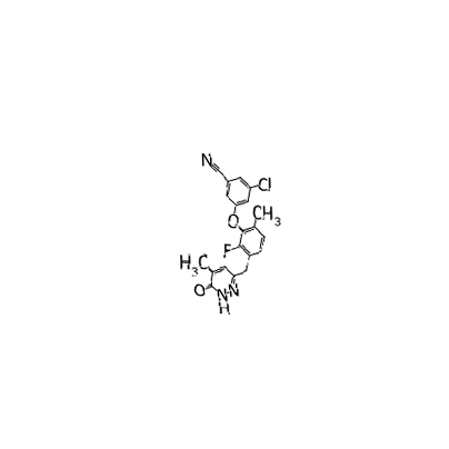 Cc1ccc(Cc2cc(C)c(=O)[nH]n2)c(F)c1Oc1cc(Cl)cc(C#N)c1